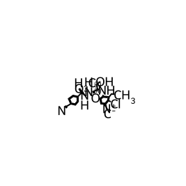 [C-]#[N+]c1ccc(N[C@@H](C(=O)NNC(=O)c2ccc(C#N)cc2)[C@H](C)O)c(CC)c1Cl